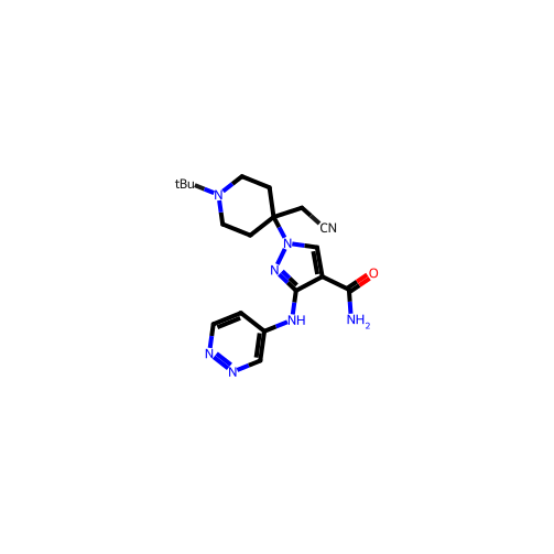 CC(C)(C)N1CCC(CC#N)(n2cc(C(N)=O)c(Nc3ccnnc3)n2)CC1